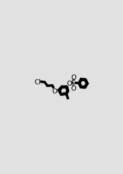 Cc1cc(OCCCCl)cc(OS(=O)(=O)c2ccccc2)c1